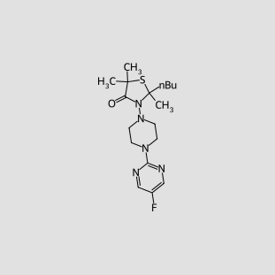 CCCCC1(C)SC(C)(C)C(=O)N1N1CCN(c2ncc(F)cn2)CC1